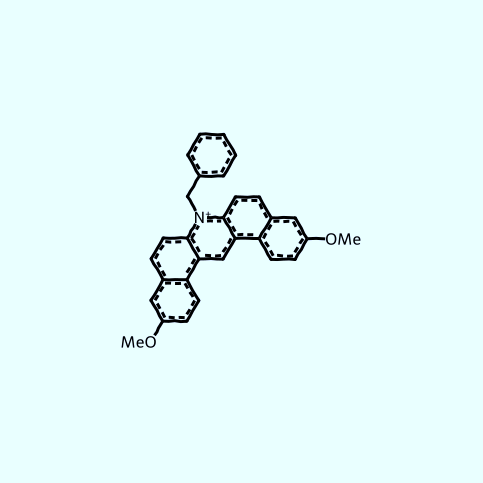 COc1ccc2c(ccc3c2cc2c4ccc(OC)cc4ccc2[n+]3Cc2ccccc2)c1